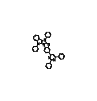 c1ccc(-c2cc(-c3ccc4c(c3)nc3n(-c5ccccc5)c5c6ccccc6n(-c6ccccc6)c5n43)nc(-c3ccccc3)n2)cc1